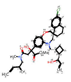 C=CC(C)CN(C)C(=O)CC(O)(C(=O)OC)c1ccc2c(c1)N(C[C@@H]1CC[C@H]1C(O)C=C)C[C@@]1(CCCc3cc(Cl)ccc31)CO2